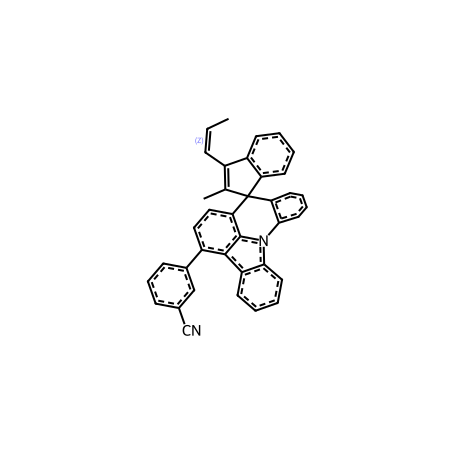 C/C=C\C1=C(C)C2(c3ccccc31)c1ccccc1-n1c3ccccc3c3c(-c4cccc(C#N)c4)ccc2c31